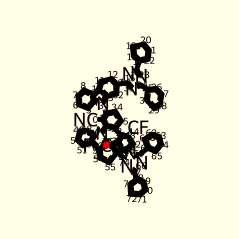 N#Cc1c(-n2c3ccccc3c3ccc(-c4nc(-c5ccccc5)nc(-c5ccccc5)n4)cc32)ccc(-c2c(C(F)(F)F)cccc2C(F)(F)F)c1-n1c2ccccc2c2ccc(-c3nc(-c4ccccc4)nc(-c4ccccc4)n3)cc21